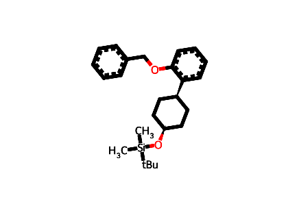 CC(C)(C)[Si](C)(C)O[C@H]1CC[C@@H](c2ccccc2OCc2ccccc2)CC1